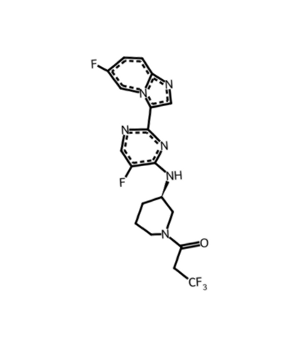 O=C(CC(F)(F)F)N1CCC[C@@H](Nc2nc(-c3cnc4ccc(F)cn34)ncc2F)C1